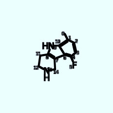 Cc1ccc(F)c2c3c([nH]c12)CCNC3